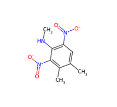 CNc1c([N+](=O)[O-])cc(C)c(C)c1[N+](=O)[O-]